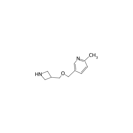 Cc1ccc(COCC2CNC2)cn1